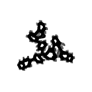 c1cc(-c2ccc3ccccc3c2)cc(N(c2ccc(-c3cccc4c3oc3ccccc34)cc2)c2cccc(-c3ccccc3-c3ccc4ccccc4c3)c2)c1